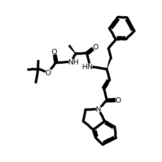 C[C@H](NC(=O)OC(C)(C)C)C(=O)N[C@H](/C=C/C(=O)N1CCc2ccccc21)CCc1ccccc1